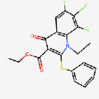 CCOC(=O)c1c(Sc2ccccc2)n(CC)c2c(F)c(F)c(F)cc2c1=O